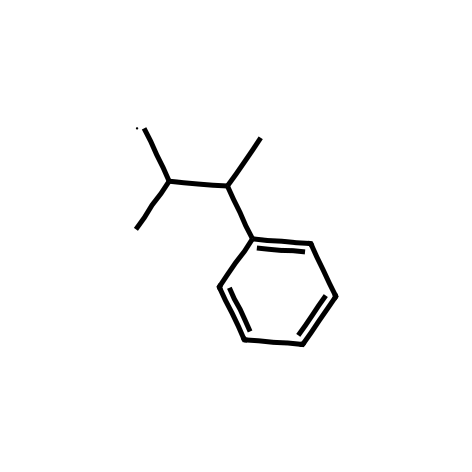 [CH2]C(C)C(C)c1ccccc1